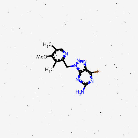 COc1c(C)cnc(Cn2nnc3c(Br)nc(N)nc32)c1C